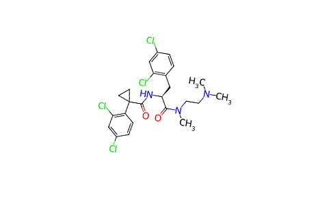 CN(C)CCN(C)C(=O)[C@H](Cc1ccc(Cl)cc1Cl)NC(=O)C1(c2ccc(Cl)cc2Cl)CC1